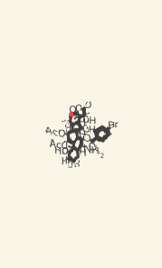 CC(=O)O[C@H]1C2C([C@@H](OC(=O)c3ccc(Br)cc3)[C@H](N)[C@H]3C[C@@H]4O[C@@H]4[C@H](O)[C@]23C)[C@@H]2[C@@H](O)[C@@H]3[C@H]([C@H](C)[C@H]4O[C@]45OC(=O)[C@@](C)(O)[C@]35C)[C@@]2(C)[C@H]1OC(C)=O